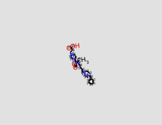 CC1C(N2CCN(CCC(=O)O)CC2)OC(=O)N1CCCCN1CCN(Cc2ccccc2)CC1